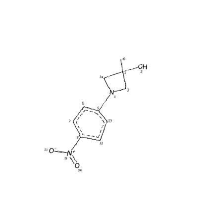 CC1(O)CN(c2ccc([N+](=O)[O-])cc2)C1